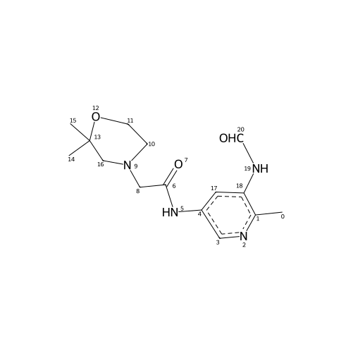 Cc1ncc(NC(=O)CN2CCOC(C)(C)C2)cc1NC=O